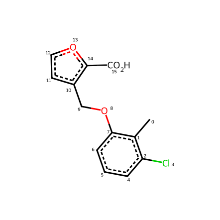 Cc1c(Cl)cccc1OCc1ccoc1C(=O)O